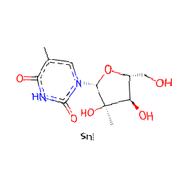 Cc1cn([C@@H]2O[C@H](CO)[C@@H](O)[C@@]2(C)O)c(=O)[nH]c1=O.[Sn]